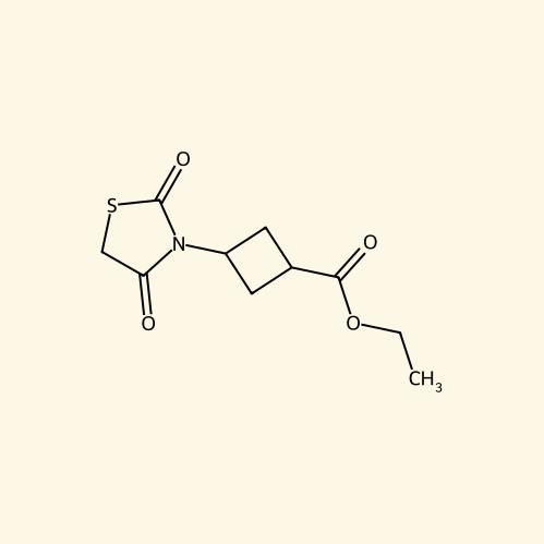 CCOC(=O)C1CC(N2C(=O)CSC2=O)C1